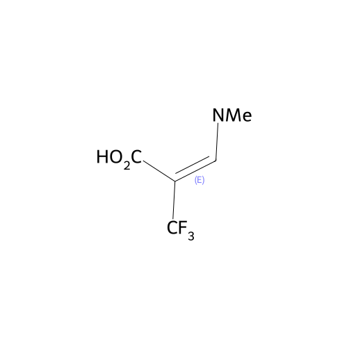 CN/C=C(\C(=O)O)C(F)(F)F